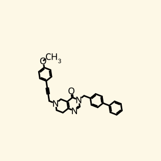 COc1ccc(C#CCN2CCc3ncn(Cc4ccc(-c5ccccc5)cc4)c(=O)c3C2)cc1